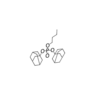 CCCCOP(=O)(OC12CC3CC(CC(C3)C1)C2)OC12CC3CC(CC(C3)C1)C2